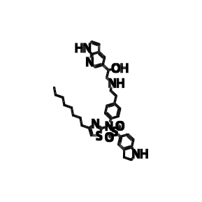 CCCCCCCCc1csc(N(c2ccc(CCNCC(O)c3cnc4[nH]ccc4c3)cc2)S(=O)(=O)c2ccc3c(c2)CCN3)n1